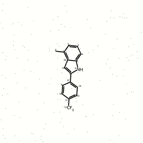 Cc1cccc2[nH]c(-c3ccc(C(F)(F)F)cc3)cc12